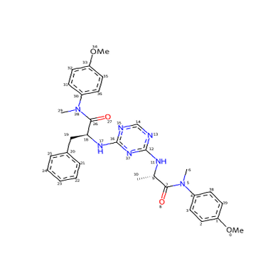 COc1ccc(N(C)C(=O)[C@H](C)Nc2ncnc(N[C@@H](Cc3ccccc3)C(=O)N(C)c3ccc(OC)cc3)n2)cc1